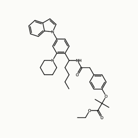 CCCCC(NC(=O)Cc1ccc(OC(C)(C)C(=O)OCC)cc1)c1ccc(-n2ccc3ccccc32)cc1N1CCCCC1